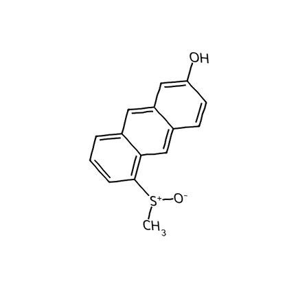 C[S+]([O-])c1cccc2cc3cc(O)ccc3cc12